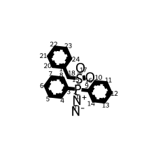 [N-]=[N+]=P(c1ccccc1)(c1ccccc1)S(=O)(=O)Cc1ccccc1